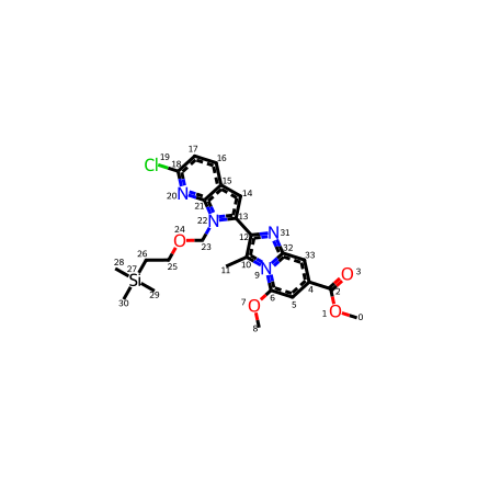 COC(=O)c1cc(OC)n2c(C)c(-c3cc4ccc(Cl)nc4n3COCC[Si](C)(C)C)nc2c1